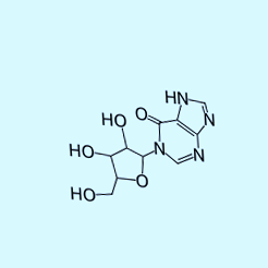 O=c1c2[nH]cnc2ncn1C1OC(CO)C(O)C1O